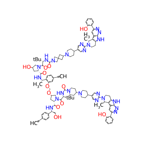 C#Cc1ccc([C@H](CO)NC(=O)[C@@H]2C[C@@H](OCOc3cc(C#C)ccc3[C@H](C)NC(=O)[C@@H]3C[C@@H](O)CN3C(=O)[C@@H](NC(=O)N3CC4(CC(N5CCC(c6cnc(N7CCc8[nH]c9nnc(-c%10ccccc%10O)cc9c8[C@H]7C)nc6)CC5)C4)C3)C(C)(C)C)CN2C(=O)[C@@H](NC(=O)N2CCC(N3CCC(c4cnc(N5CCc6[nH]c7nnc(-c8ccccc8O)cc7c6[C@H]5C)nc4)CC3)CC2)C(C)(C)C)cc1